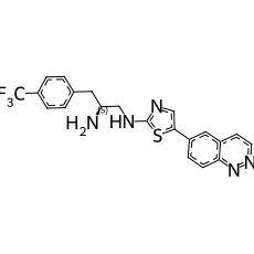 N[C@H](CNc1ncc(-c2ccc3nnccc3c2)s1)Cc1ccc(C(F)(F)F)cc1